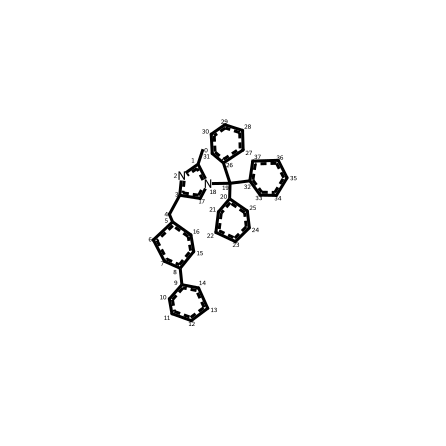 Cc1nc(Cc2ccc(-c3ccccc3)cc2)cn1C(c1ccccc1)(c1ccccc1)c1ccccc1